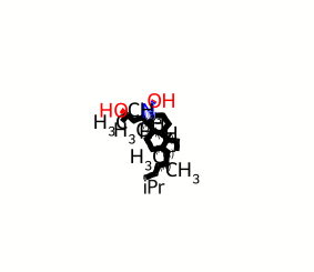 CC(C)CCC[C@@H](C)[C@H]1CC[C@H]2[C@@H]3CC/C(=N\O)[C@](C)(CCC(C)(C)O)[C@H]3CC[C@]12C